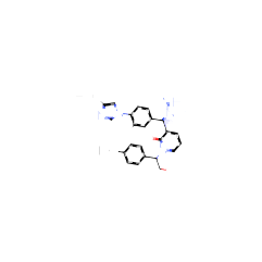 Cc1ccc(C(CO)n2cccc(/C(=N/N)c3ccc(-n4cnc(C)c4)c(C)c3)c2=O)cc1